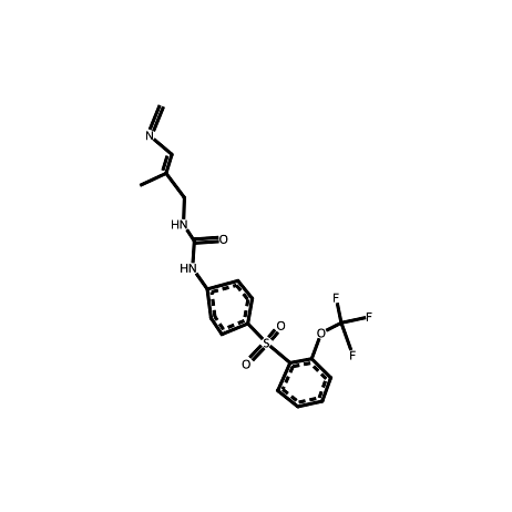 C=N/C=C(\C)CNC(=O)Nc1ccc(S(=O)(=O)c2ccccc2OC(F)(F)F)cc1